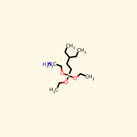 CCO[Si](CCC(CC)CC)(OCC)OCC.N